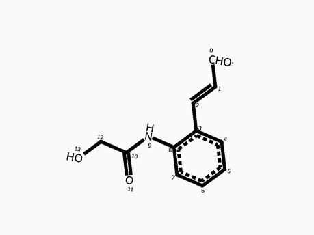 O=[C]/C=C/c1ccccc1NC(=O)CO